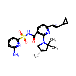 C[C@@H]1CN(c2nc(/C=C/C3CC3)ccc2C(=O)NS(=O)(=O)c2cccc(N)n2)C(C)(C)C1